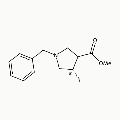 COC(=O)C1CN(Cc2ccccc2)C[C@H]1C